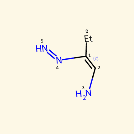 CC/C(=C/N)N=N